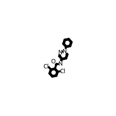 O=C(N=c1ccn(-c2ccccc2)nc1)c1c(Cl)cccc1Cl